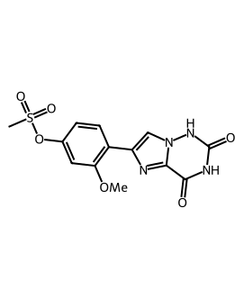 COc1cc(OS(C)(=O)=O)ccc1-c1cn2[nH]c(=O)[nH]c(=O)c2n1